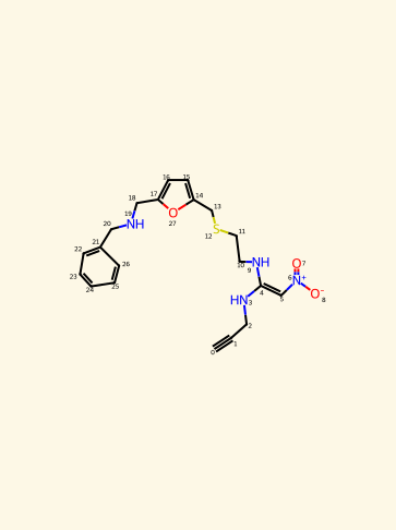 C#CCN/C(=C/[N+](=O)[O-])NCCSCc1ccc(CNCc2ccccc2)o1